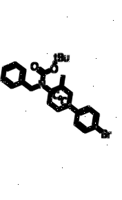 CC1CC2(c3ccc(Br)cc3)CCC1(N(Cc1ccccc1)C(=O)OC(C)(C)C)CC2